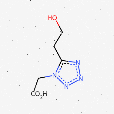 O=C(O)Cn1nnnc1CCO